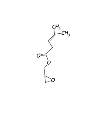 CC(C)=CCC(=O)OCC1CO1